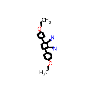 CCCOc1ccc(-c2ccc(-c3ccc(OCCC)cc3)c(C#N)c2C#N)cc1